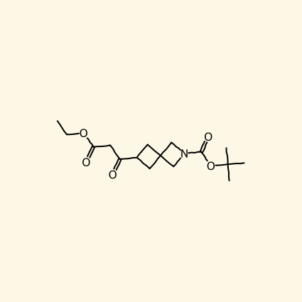 CCOC(=O)CC(=O)C1CC2(C1)CN(C(=O)OC(C)(C)C)C2